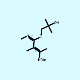 C/N=C(OCC(C)(C)O)\C(C)=C(/C)NC